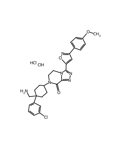 COc1ccc(-c2cc(-c3nnc4n3CCN(C3CCC(CN)(c5cccc(Cl)c5)CC3)C4=O)on2)cc1.Cl.Cl